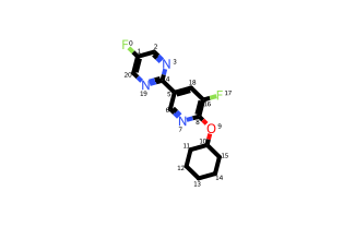 Fc1cnc(-c2cnc(OC3CCCCC3)c(F)c2)nc1